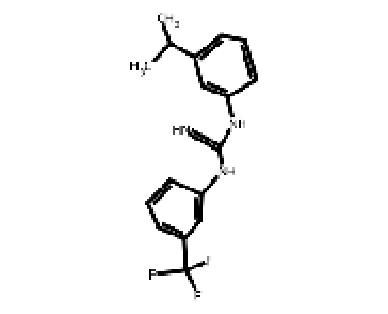 CC(C)c1cccc(NC(=N)Nc2cccc(C(F)(F)F)c2)c1